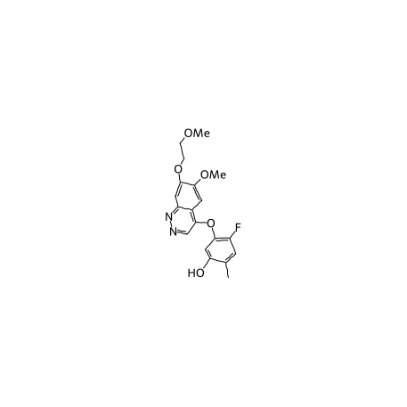 COCCOc1cc2nncc(Oc3cc(O)c(C)cc3F)c2cc1OC